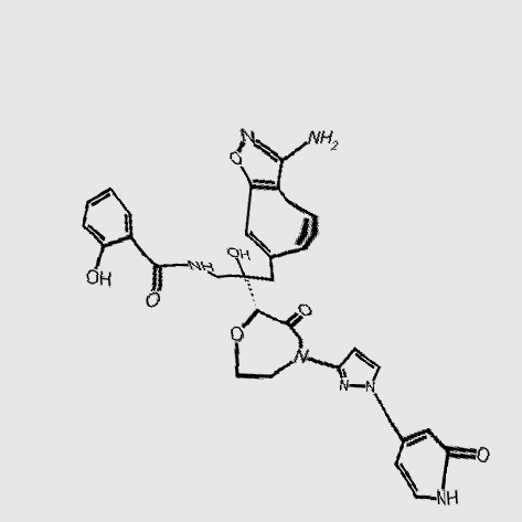 Nc1noc2cc(CC(O)(CNC(=O)c3ccccc3O)[C@H]3OCCN(c4ccn(-c5cc[nH]c(=O)c5)n4)C3=O)ccc12